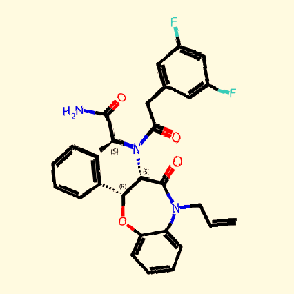 C=CCN1C(=O)[C@@H](N(C(=O)Cc2cc(F)cc(F)c2)[C@@H](C)C(N)=O)[C@@H](c2ccccc2)Oc2ccccc21